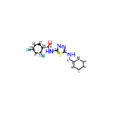 O=C(Nc1nnc(NCC2CCCCC2)s1)c1ccc(F)cc1F